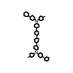 Cc1ccc(N(c2ccc(-c3ccccc3)cc2)c2ccc(-c3ccc(-c4ccc(-c5ccc(N(c6ccc(C)cc6)c6ccc(-c7ccccc7)cc6)cc5)cc4)cc3)cc2)cc1